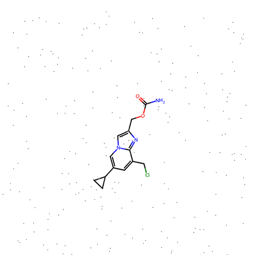 NC(=O)OCc1cn2cc(C3CC3)cc(CCl)c2n1